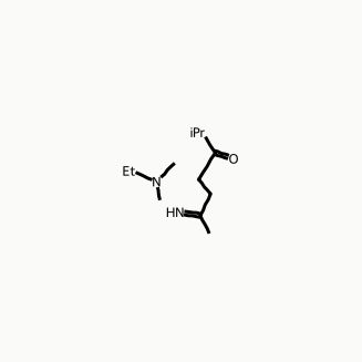 CC(=N)CCC(=O)C(C)C.CCN(C)C